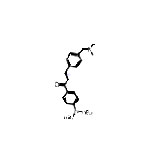 CCCCN(CCCC)c1ccc(C(=O)/C=C/c2ccc(CN(C)C)cc2)cc1